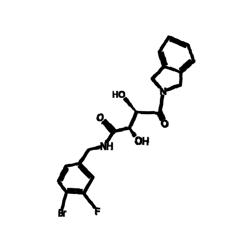 O=C(NCc1ccc(Br)c(F)c1)[C@H](O)[C@@H](O)C(=O)N1Cc2ccccc2C1